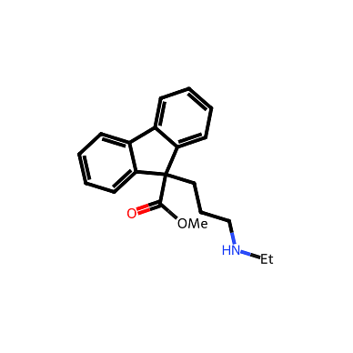 CCNCCCC1(C(=O)OC)c2ccccc2-c2ccccc21